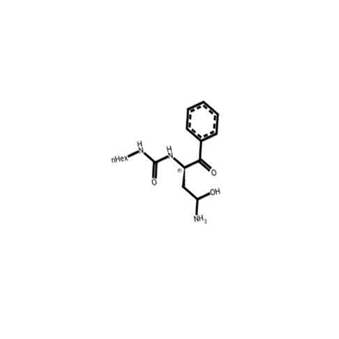 CCCCCCNC(=O)N[C@H](CC(N)O)C(=O)c1ccccc1